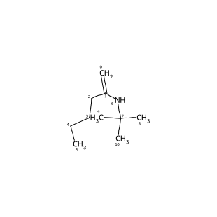 C=C(CCCC)NC(C)(C)C